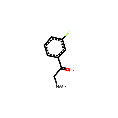 CNCC(=O)c1cccc(F)c1